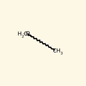 [CH2]OC/C=C/CCCCCCCCCCCCCCCC